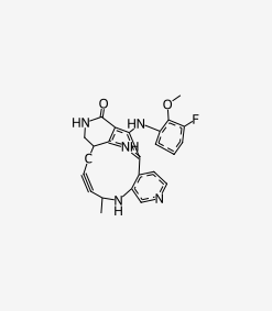 COc1c(F)cccc1Nc1c2[nH]c3c1C(=O)NCC3CC#CC(C)Nc1cnccc1-2